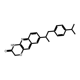 CC(C)c1ccc(CC(C)c2ccc3nc4c(cc3c2)OCC(=O)N4)cc1